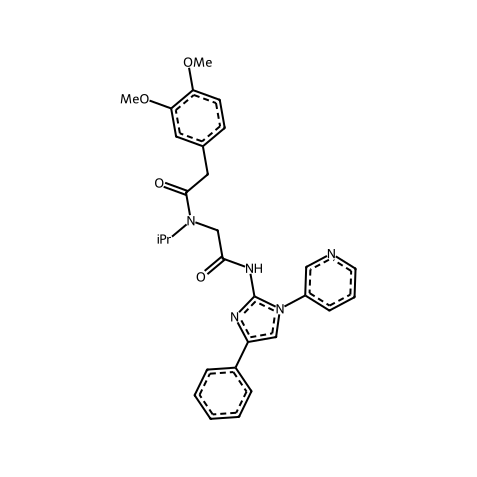 COc1ccc(CC(=O)N(CC(=O)Nc2nc(-c3ccccc3)cn2-c2cccnc2)C(C)C)cc1OC